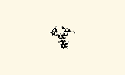 CC(=O)N1CCN(c2nc(OC[C@@]34CCCN3C[C@H](F)C4)nc3c(F)c(-c4cccc(Cl)c4C(F)(F)F)ncc23)C[C@@H]1CC#N